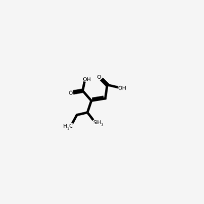 CCC([SiH3])C(=CC(=O)O)C(=O)O